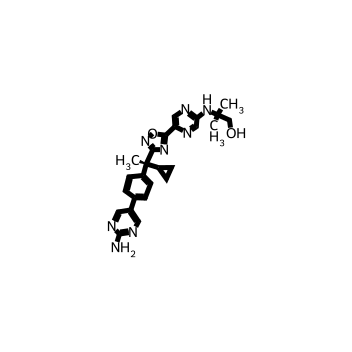 CC(C)(CO)Nc1cnc(-c2nc([C@@](C)(c3ccc(-c4cnc(N)nc4)cc3)C3CC3)no2)cn1